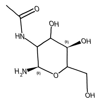 CC(=O)NC1C(O)[C@@H](O)C(CO)O[C@H]1N